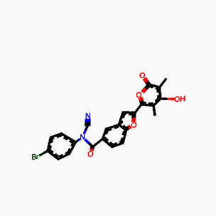 Cc1c(-c2cc3cc(C(=O)N(C#N)c4ccc(Br)cc4)ccc3o2)oc(=O)c(C)c1O